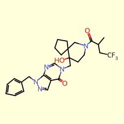 CC(CC(F)(F)F)C(=O)N1CCC(O)(Cn2cnc3c(cnn3Cc3ccccc3)c2=O)C2(CCCC2)C1